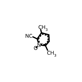 Cc1ccc(C)[n+]([O-])c1C#N